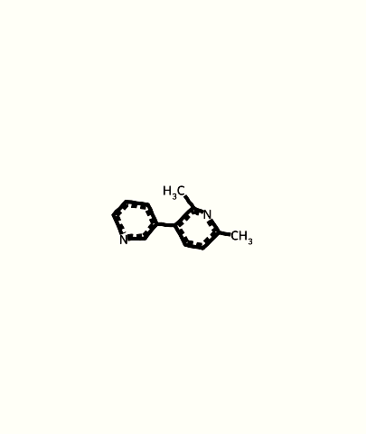 Cc1ccc(-c2cccnc2)c(C)n1